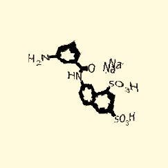 Nc1cccc(C(=O)Nc2ccc3cc(S(=O)(=O)O)cc(S(=O)(=O)O)c3c2)c1.[Na].[Na]